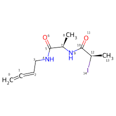 C=C=CCNC(=O)[C@@H](C)NC(=O)[C@@H](C)I